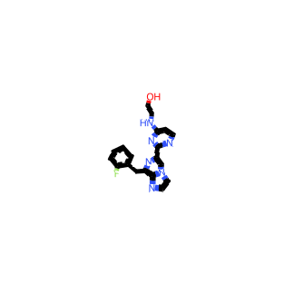 OCCNc1ccnc(-c2cn3ccnc3c(Cc3ccccc3F)n2)n1